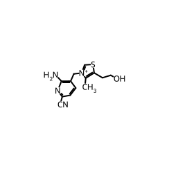 Cc1c(CCO)sc[n+]1Cc1ccc(C#N)nc1N